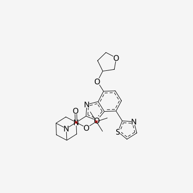 CC(C)(C)OC(=O)N1C2CC1CN(c1nc3c(OC4CCOC4)ccc(-c4nccs4)c3o1)C2